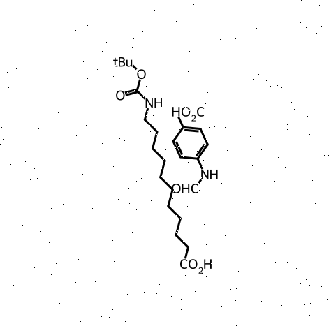 CC(C)(C)OC(=O)NCCCCCCCCCCC(=O)O.O=CNc1ccc(C(=O)O)cc1